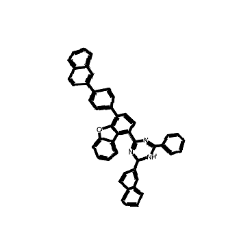 c1ccc(C2=NC(c3ccc(-c4ccc(-c5ccc6ccccc6c5)cc4)c4oc5ccccc5c34)=NC(c3ccc4ccccc4c3)N2)cc1